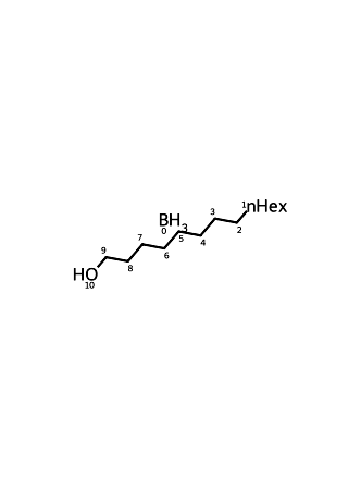 B.CCCCCCCCCCCCCCO